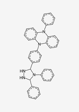 c1ccc(C2NNC(c3ccc(N4c5ccccc5N(c5ccccc5)c5ccccc54)cc3)N2c2ccccc2)cc1